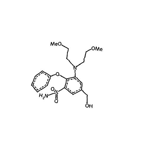 COCCN(CCOC)c1cc(CO)cc(S(N)(=O)=O)c1Oc1ccccc1